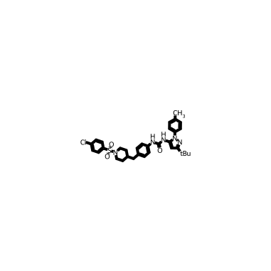 Cc1ccc(-n2nc(C(C)(C)C)cc2NC(=O)Nc2ccc(CC3CCN(S(=O)(=O)c4ccc(Cl)cc4)CC3)cc2)cc1